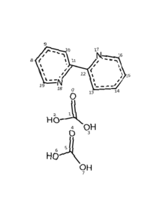 O=C(O)O.O=C(O)O.c1ccc(-c2ccccn2)nc1